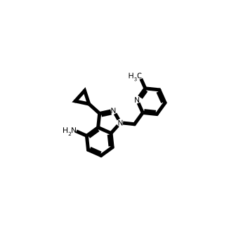 Cc1cccc(Cn2nc(C3CC3)c3c(N)cccc32)n1